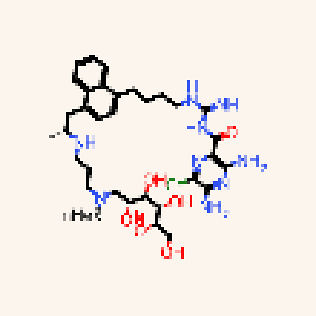 CCCCCCN(CCCN[C@H](C)Cc1ccc(CCCCNC(=N)NC(=O)c2nc(Cl)c(N)nc2N)c2ccccc12)C[C@H](O)[C@@H](O)[C@H](O)[C@H](O)CO